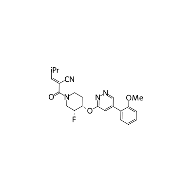 COc1ccccc1-c1cnnc(O[C@H]2CCN(C(=O)/C(C#N)=C/C(C)C)C[C@H]2F)c1